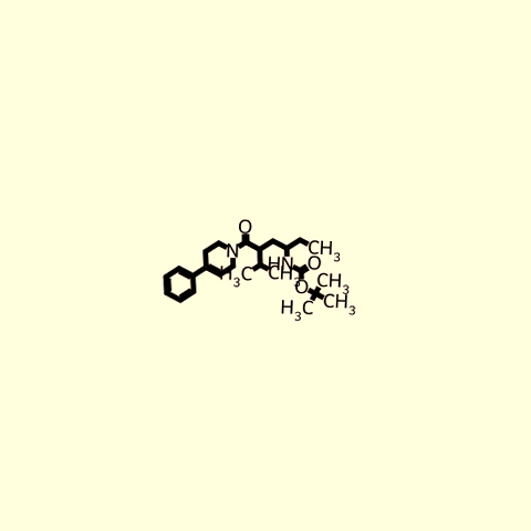 CCC(CC(C(=O)N1CC=C(c2ccccc2)CC1)C(C)C)NC(=O)OC(C)(C)C